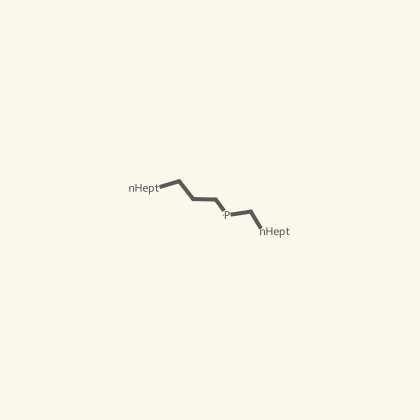 CCCCCCCCCC[P]CCCCCCCC